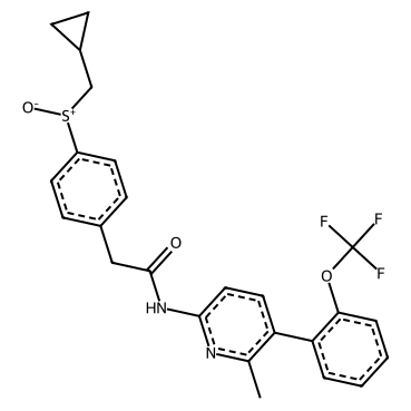 Cc1nc(NC(=O)Cc2ccc([S+]([O-])CC3CC3)cc2)ccc1-c1ccccc1OC(F)(F)F